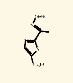 CON=C(C)c1ccc(S(=O)(=O)O)s1